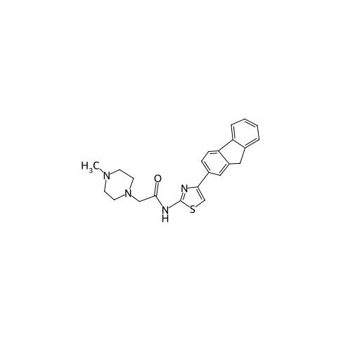 CN1CCN(CC(=O)Nc2nc(-c3ccc4c(c3)Cc3ccccc3-4)cs2)CC1